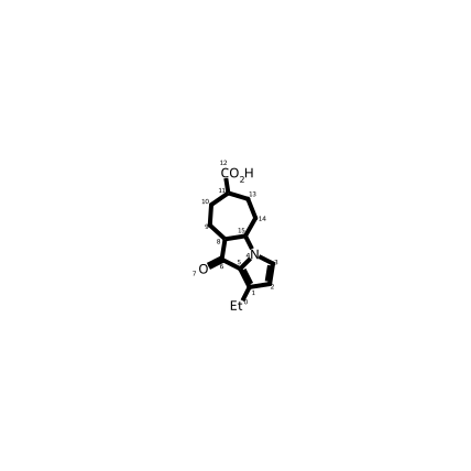 CCc1ccn2c1C(=O)C1CCC(C(=O)O)CCC12